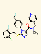 CN(Cc1ccncc1)C(=O)c1cnc(SCc2c(F)cccc2Cl)n1-c1ccc(CF)cc1